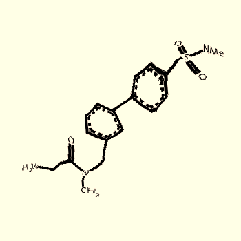 CNS(=O)(=O)c1ccc(-c2cccc(CN(C)C(=O)CN)c2)cc1